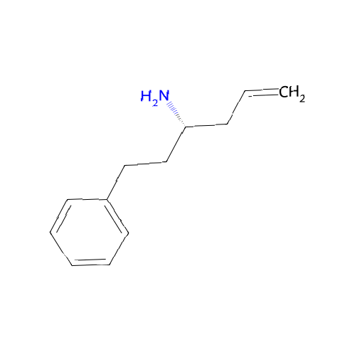 C=CC[C@@H](N)CCc1ccccc1